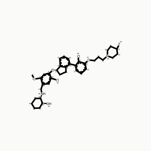 COc1cc(O[C@H]2CCc3c(-c4cccc(OCCCN5CCC(F)CC5)c4Cl)cccc32)c(Cl)cc1CN[C@@H]1CCCC[C@@H]1O